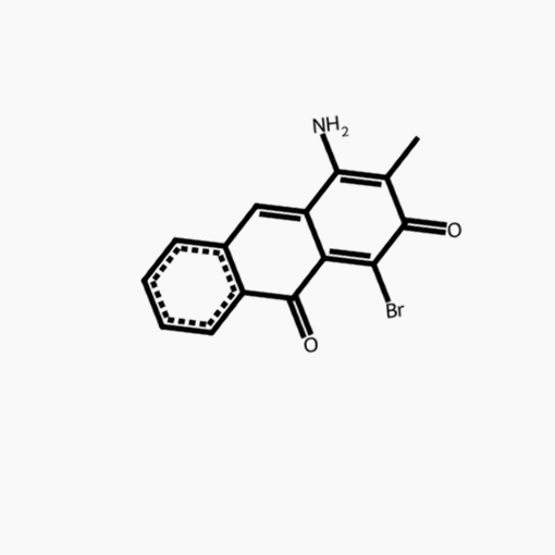 CC1=C(N)C2=Cc3ccccc3C(=O)C2=C(Br)C1=O